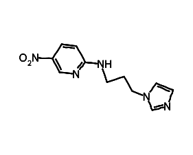 O=[N+]([O-])c1ccc(NCCCn2ccnc2)nc1